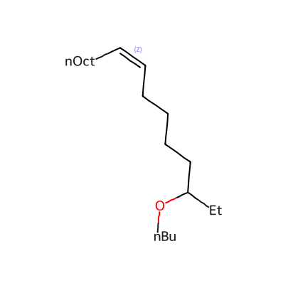 CCCCCCCC/C=C\CCCCC(CC)OCCCC